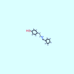 Oc1ccc(CCN=Cc2ccccc2)cc1